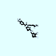 COc1ccc(-c2nc3ccc(NCc4ccc(Cl)c(Cl)c4)nc3n(CCCC(=O)O)c2=O)cc1